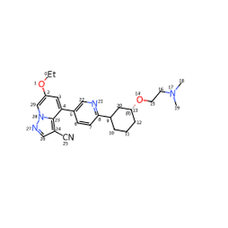 CCOc1cc(-c2ccc(C3CCC[C@@H](OCCN(C)C)C3)nc2)c2c(C#N)cnn2c1